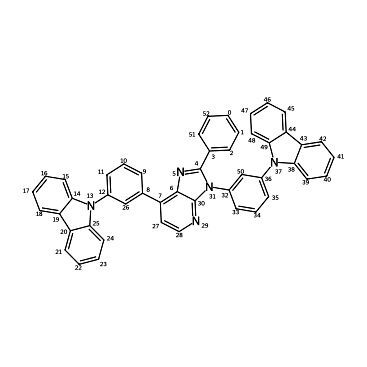 c1ccc(-c2nc3c(-c4cccc(-n5c6ccccc6c6ccccc65)c4)ccnc3n2-c2cccc(-n3c4ccccc4c4ccccc43)c2)cc1